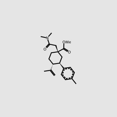 C=C(C)[C@@H]1CC[C@](CC(=O)N(C)C)(C(=O)OC)C[C@H]1c1ccc(C)cc1